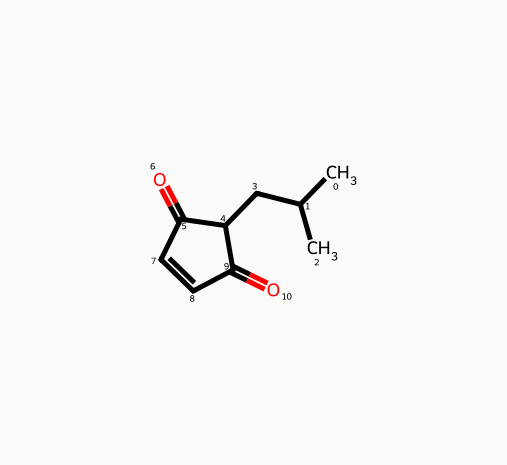 CC(C)CC1C(=O)C=CC1=O